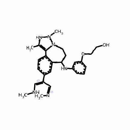 C/N=C\C(=C/NC)c1ccc2c(c1)C(Nc1cccc(OCCO)c1)CCN1C2=C(C)NN1C